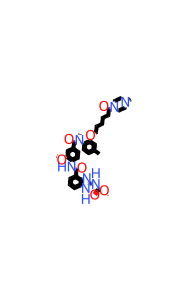 COC(=O)Nc1nc2c(C(=O)Nc3ccc(C(=O)N(C)c4ccc(C)cc4OCCCCCC(=O)N4CCN(C)CC4)cc3OC)cccc2[nH]1